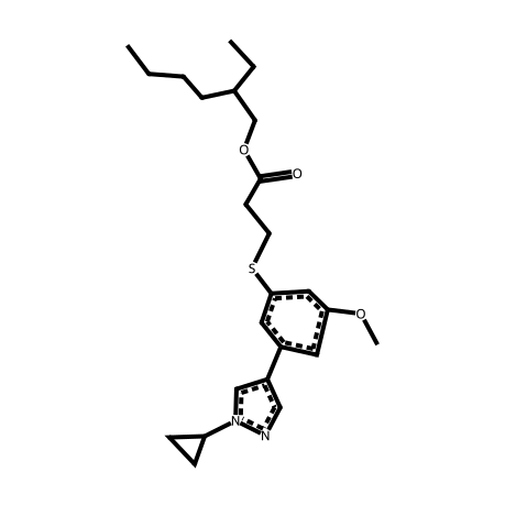 CCCCC(CC)COC(=O)CCSc1cc(OC)cc(-c2cnn(C3CC3)c2)c1